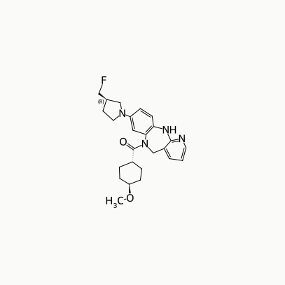 CO[C@H]1CC[C@H](C(=O)N2Cc3cccnc3Nc3ccc(N4CC[C@@H](CF)C4)cc32)CC1